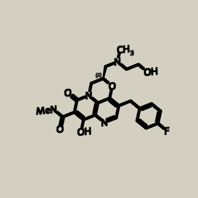 CNC(=O)c1c(O)c2ncc(Cc3ccc(F)cc3)c3c2n(c1=O)C[C@@H](CN(C)CCO)O3